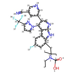 CCN(C(=O)O)C(C)(C)Cc1cc(F)cc2c1[nH]c1ncc(-c3cncc(C#N)c3)c(-n3ccc(C(F)(F)F)n3)c12